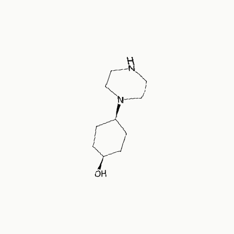 O[C@H]1CC[C@@H](N2CCNCC2)CC1